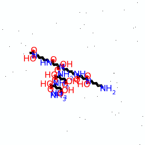 CC(=O)N(O)CCCCCNC(=O)CCC(=O)N(O)CCCCCNC(=O)CCC(=O)N(O)CCCCCN.N.N.NC(CCC(=O)O)C(=O)O.NC(CCC(=O)O)C(=O)O